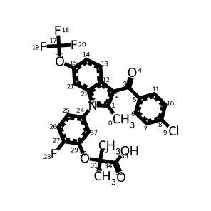 Cc1c(C(=O)c2ccc(Cl)cc2)c2ccc(OC(F)(F)F)cc2n1-c1ccc(F)c(OC(C)(C)C(=O)O)c1